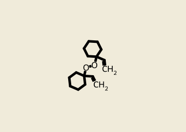 C=CC1(OOC2(C=C)CCCCC2)CCCCC1